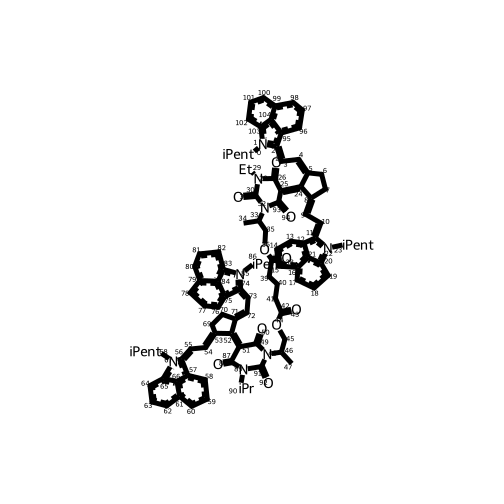 CCCC(C)n1/c(=C/C=C2/CCC(=C\C=c3/c4cccc5cccc(c54)n3C(C)CCC)/C2=C2/C(=O)N(CC)C(=O)N(C(C)COC(=O)CCCC(=O)OCC(C)N3C(=O)C(=C4/C(=C/C=c5\c6cccc7cccc(c76)n5C(C)CCC)CC/C4=C\C=c4/c5cccc6cccc(c65)n4C(C)CCC)C(=O)N(C(C)C)C3=O)C2=O)c2cccc3cccc1c32